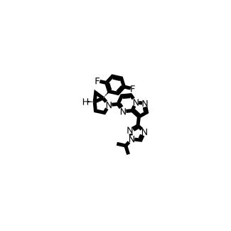 CC(C)n1cnc(-c2cnn3ccc(N4CC[C@H]5C[C@]54c4cc(F)ccc4F)nc23)n1